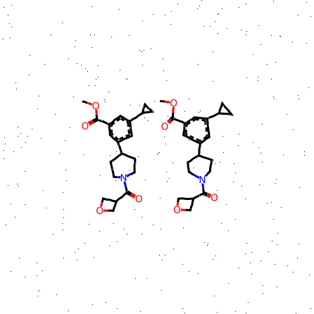 COC(=O)c1cc(C2CC2)cc(C2CCN(C(=O)C3COC3)CC2)c1.COC(=O)c1cc(C2CC2)cc(C2CCN(C(=O)C3COC3)CC2)c1